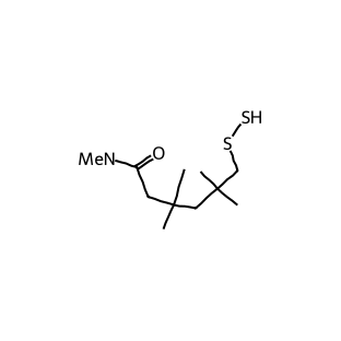 CNC(=O)CC(C)(C)CC(C)(C)CSS